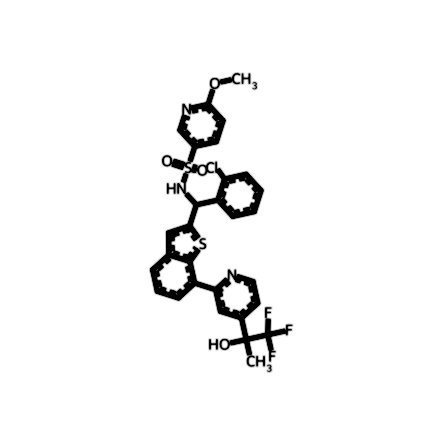 COc1ccc(S(=O)(=O)NC(c2cc3cccc(-c4cc(C(C)(O)C(F)(F)F)ccn4)c3s2)c2ccccc2Cl)cn1